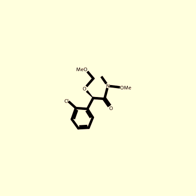 COCO[C@@H](C(=O)N(C)OC)c1ccccc1Cl